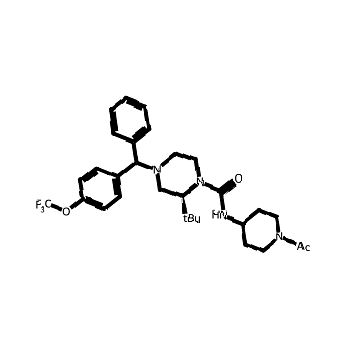 CC(=O)N1CCC(NC(=O)N2CCN(C(c3ccccc3)c3ccc(OC(F)(F)F)cc3)C[C@@H]2C(C)(C)C)CC1